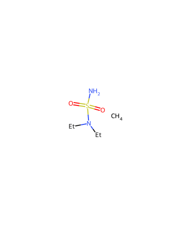 C.CCN(CC)S(N)(=O)=O